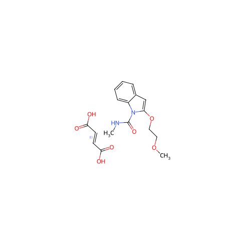 CNC(=O)n1c(OCCOC)cc2ccccc21.O=C(O)/C=C/C(=O)O